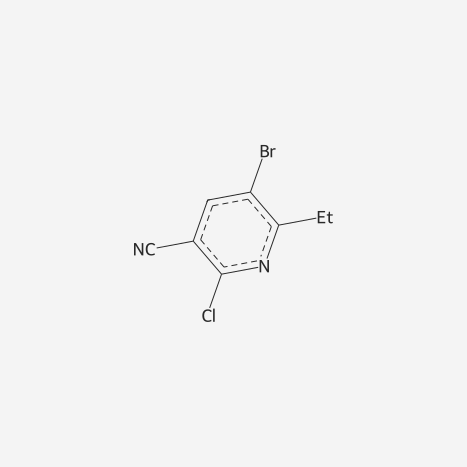 CCc1nc(Cl)c(C#N)cc1Br